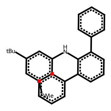 COc1cc(Nc2c(-c3ccccc3)cccc2-c2ccccc2)cc(C(C)(C)C)c1